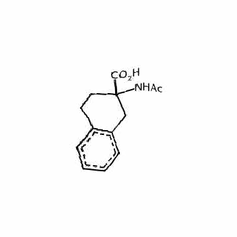 CC(=O)NC1(C(=O)O)CCc2ccccc2C1